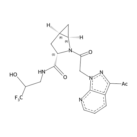 CC(=O)c1nn(CC(=O)N2[C@@H]3C[C@@H]3C[C@H]2C(=O)NCC(O)C(F)(F)F)c2ncccc12